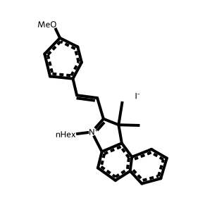 CCCCCC[N+]1=C(/C=C/c2ccc(OC)cc2)C(C)(C)c2c1ccc1ccccc21.[I-]